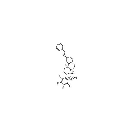 C[C@]12CCC(c3c(F)c(F)c(F)c(F)c3F)[C@@](C)(C(=O)O)[C@@H]1CCc1ccc(OCc3ccccc3)cc12